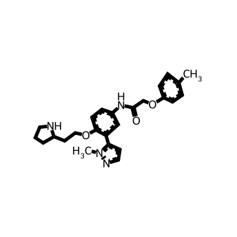 Cc1ccc(OCC(=O)Nc2ccc(OCCC3CCCN3)c(-c3ccnn3C)c2)cc1